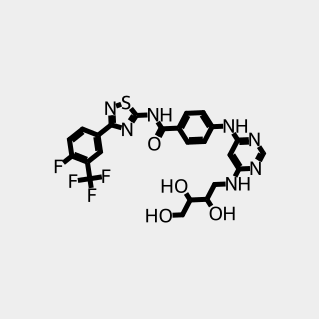 O=C(Nc1nc(-c2ccc(F)c(C(F)(F)F)c2)ns1)c1ccc(Nc2cc(NCC(O)C(O)CO)ncn2)cc1